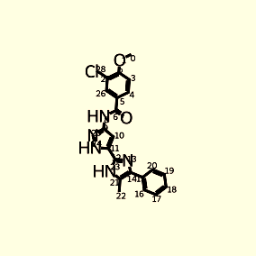 COc1ccc(C(=O)Nc2cc(-c3nc(-c4ccccc4)c(C)[nH]3)[nH]n2)cc1Cl